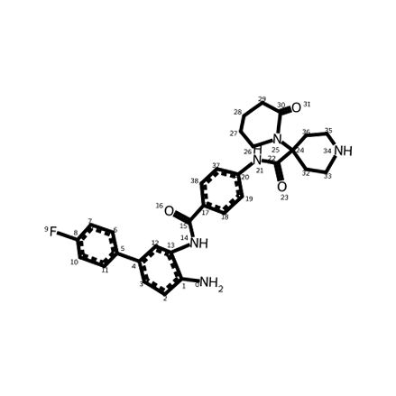 Nc1ccc(-c2ccc(F)cc2)cc1NC(=O)c1ccc(NC(=O)C2(N3CCCCC3=O)CCNCC2)cc1